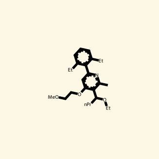 CCCC(OCC)c1c(OCCOC)cc(-c2c(CC)cccc2CC)nc1C